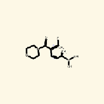 C=C(/C=C\C(C(=O)N1CCOCC1)=C(/C)F)B(O)O